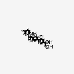 Cc1ccc(Nc2ncnc3cc(-c4ncc([C@H](O)CO)cc4Cl)cnc23)nc1